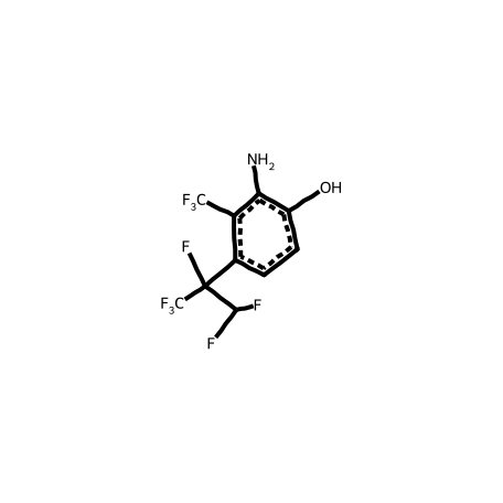 Nc1c(O)ccc(C(F)(C(F)F)C(F)(F)F)c1C(F)(F)F